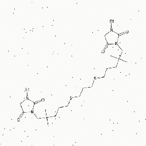 CCN1CC(=O)N(CC(C)(C)CCCSCCCSCCCC(C)(C)CN2C(=O)CN(CC)C2=O)C1=O